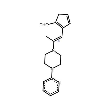 C/C(=C\C1=C(C=O)CC=C1)N1CCN(c2ccccn2)CC1